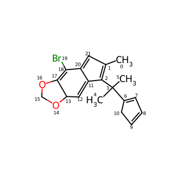 CC1=C(C(C)(C)C2=CC=CC2)C2=CC3OCOC3=C(Br)C2=C1